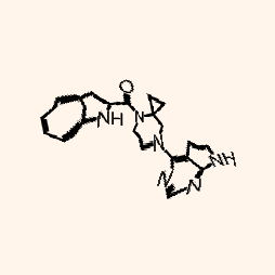 O=C(c1cc2ccccc2[nH]1)N1CCN(c2ncnc3[nH]ccc23)CC12CC2